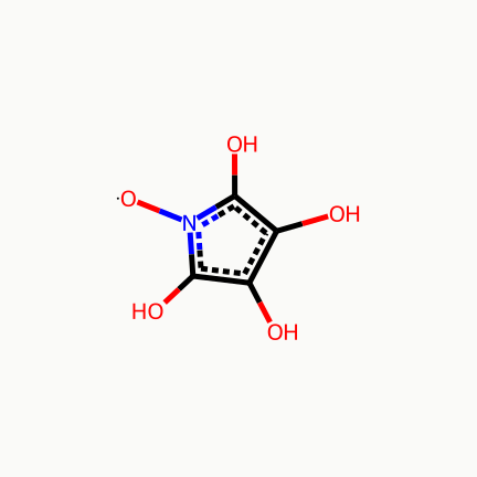 [O]n1c(O)c(O)c(O)c1O